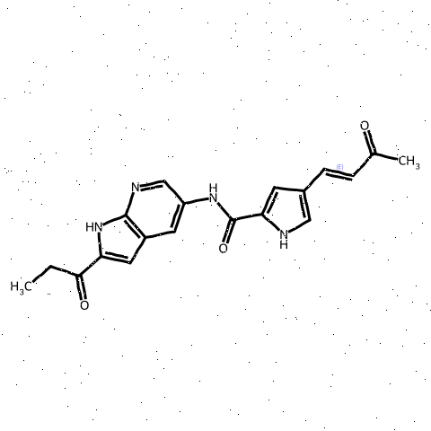 CCC(=O)c1cc2cc(NC(=O)c3cc(/C=C/C(C)=O)c[nH]3)cnc2[nH]1